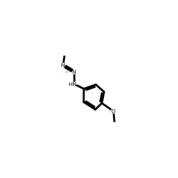 [CH2]Oc1ccc(N/N=N/C)cc1